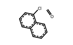 C=O.Clc1cccc2ccccc12